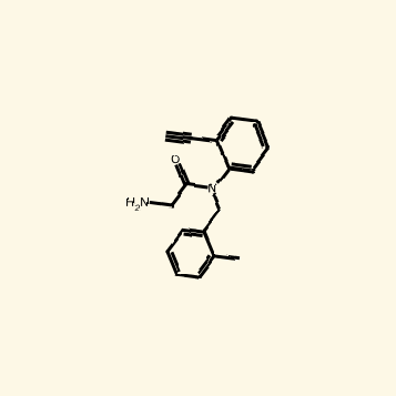 C#Cc1ccccc1N(Cc1ccccc1C)C(=O)CN